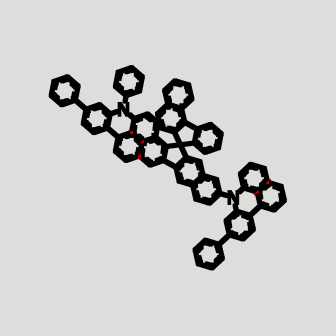 c1ccc(-c2ccc(-c3ccccc3)c(N(c3ccccc3)c3ccc4cc5c(cc4c3)C3(c4ccccc4-c4c3ccc3ccccc43)c3c-5ccc4cc(N(c5ccccc5)c5cc(-c6ccccc6)ccc5-c5ccccc5)ccc34)c2)cc1